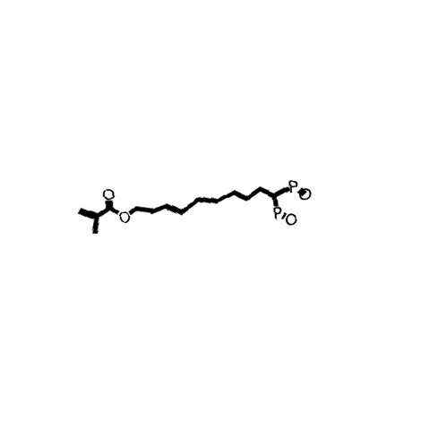 C=C(C)C(=O)OCCCCCCCCCC(P=O)P=O